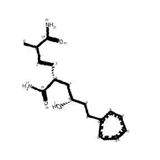 CC(CC[C@H](C[C@@H](O)[CH]Cc1ccccc1)C(N)=O)C(N)=O